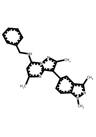 Cc1cc(NCc2ccccc2)n2nc(C)c(-c3ccc4c(c3)c(C)nn4C)c2n1